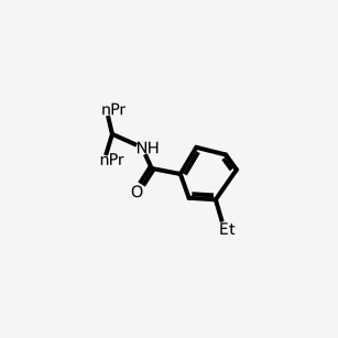 CCCC(CCC)NC(=O)c1cccc(CC)c1